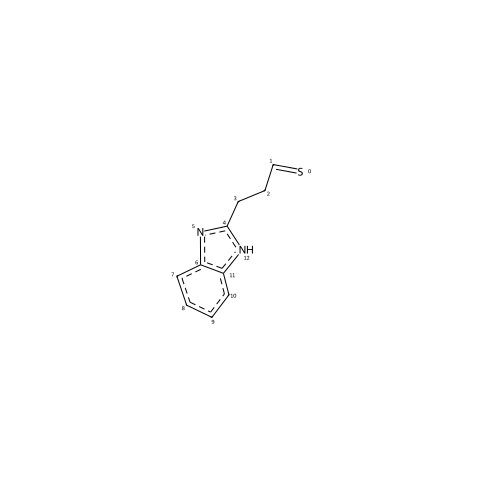 S=CCCc1nc2ccccc2[nH]1